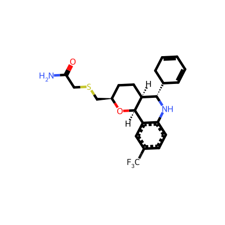 NC(=O)CSC[C@H]1CC[C@@H]2[C@H](O1)c1cc(C(F)(F)F)ccc1N[C@H]2C1C=CC=CC1